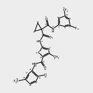 Cc1nc(NC(=O)C2(C(=O)Nc3cc(F)cc(C(F)(F)F)c3)CC2)sc1C(=O)Nc1cc(C(F)(F)F)ccc1Cl